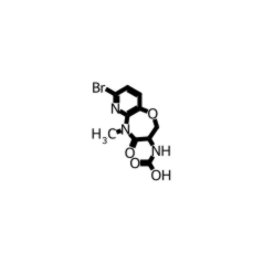 CN1C(=O)C(NC(=O)O)COc2ccc(Br)nc21